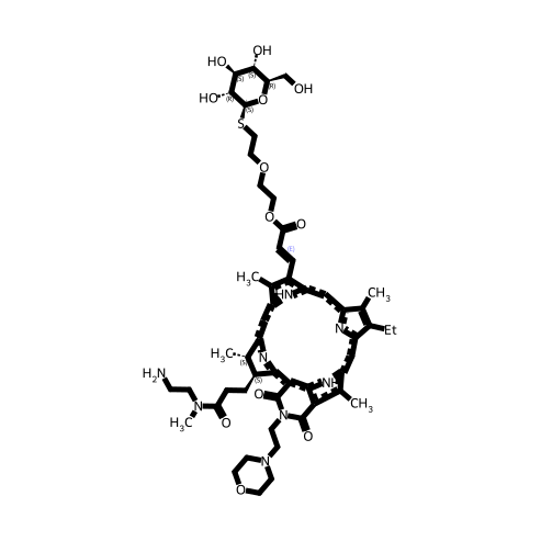 CCC1=C(C)c2cc3[nH]c(cc4nc(c5c6[nH]c(cc1n2)c(C)c6C(=O)N(CCN1CCOCC1)C5=O)[C@@H](CCC(=O)N(C)CCN)[C@@H]4C)c(C)c3/C=C/C(=O)OCCOCCS[C@@H]1O[C@H](CO)[C@@H](O)[C@H](O)[C@H]1O